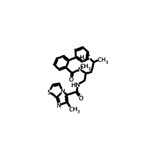 Cc1nc2sccn2c1C(=O)NCC(CC(C)C)N(C)C(=O)c1ccccc1-c1ccccc1